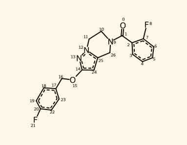 O=C(c1ccccc1F)N1CCn2nc(OCc3ccc(F)cc3)cc2C1